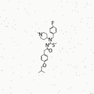 CS/C(=N\C(=O)Cc1ccc(OCC(C)C)cc1)N(Cc1ccc(F)cc1)C1CCN(C)CC1